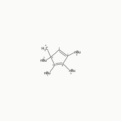 CCCCC1=[C]C(C)(CCCC)C(CCCC)=C1CCCC